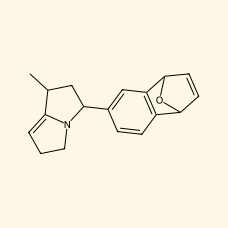 CC1CC(c2ccc3c(c2)C2C=CC3O2)N2CCC=C12